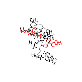 CC(CC(C)CC(CC(C)CC(C)CC(CC(C)CC(C)(C)C)OC(=O)OO)OS(=O)(=O)O)CC(CC(C)CC(C)(C)C)OCOO